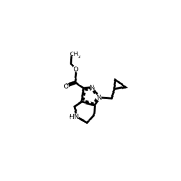 CCOC(=O)c1nn(CC2CC2)c2c1CNCC2